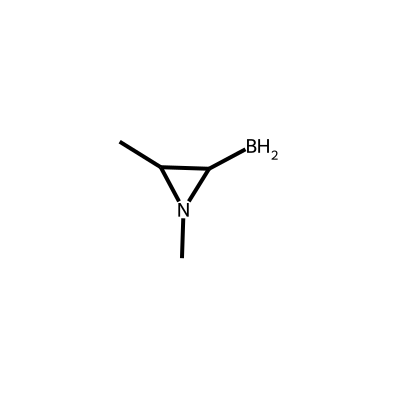 BC1C(C)N1C